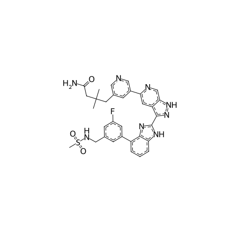 CC(C)(CC(N)=O)Cc1cncc(-c2cc3c(-c4nc5c(-c6cc(F)cc(CNS(C)(=O)=O)c6)cccc5[nH]4)n[nH]c3cn2)c1